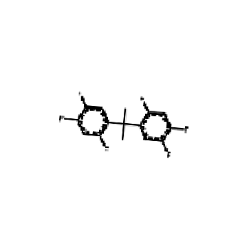 CC(C)(c1[c]c(F)c(F)[c]c1F)c1[c]c(F)c(F)[c]c1F